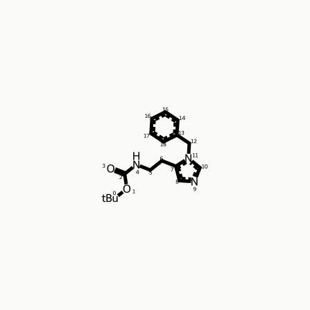 CC(C)(C)OC(=O)NCCc1cncn1Cc1ccccc1